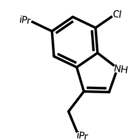 CC(C)Cc1c[nH]c2c(Cl)cc(C(C)C)cc12